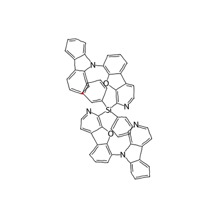 c1ccc([Si](c2ccccc2)(c2nccc3c2oc2c(-n4c5ccccc5c5ccccc54)cccc23)c2nccc3c2oc2c(-n4c5ccccc5c5ccncc54)cccc23)cc1